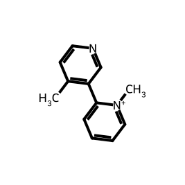 Cc1ccncc1-c1cccc[n+]1C